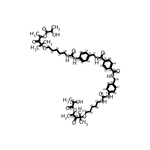 CC(O)C(=O)OC(C)C(=O)C(C)(C)OCCCCCNC(=O)Nc1ccc(CNC(=O)c2ccc(C(=O)NCc3ccc(NC(=O)NCCCCCOC(C)(C)C(=O)C(C)OC(=O)C(C)O)cc3)cc2)cc1